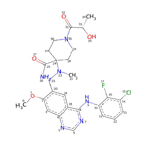 COc1cc2ncnc(Nc3cccc(Cl)c3F)c2cc1CN(C)C1(C(N)=O)CCN(C(=O)[C@H](C)O)CC1